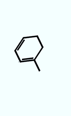 CC1=[C]C=CCC1